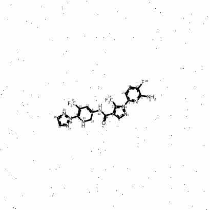 Nc1nc(-n2ncc(C(=O)NC3=CC(C(F)(F)F)=C(n4nccn4)NC3)c2C(F)(F)F)ccc1F